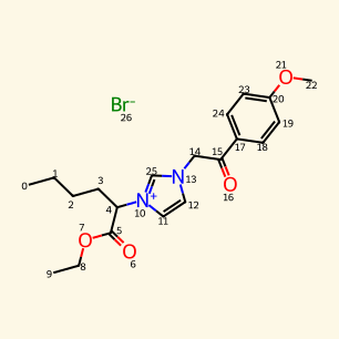 CCCCC(C(=O)OCC)[n+]1ccn(CC(=O)c2ccc(OC)cc2)c1.[Br-]